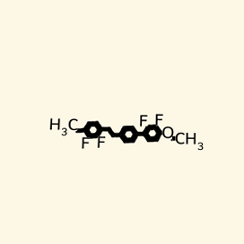 CCOc1ccc(-c2ccc(CCc3ccc(CC)c(F)c3F)cc2)c(F)c1F